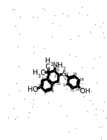 CC1(C)c2cc(O)ccc2CC(Sc2ccc(O)cc2)C1N